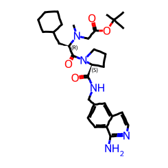 CN(CC(=O)OC(C)(C)C)[C@H](CC1CCCCC1)C(=O)N1CCC[C@H]1C(=O)NCc1ccc2c(N)nccc2c1